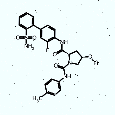 CCO[C@@H]1C[C@H](C(=O)Nc2ccc(-c3ccccc3S(N)(=O)=O)cc2F)N(C(=O)Nc2ccc(C)cc2)C1